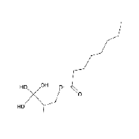 CCCCCCCC(=O)OCC(C)C(O)(O)O